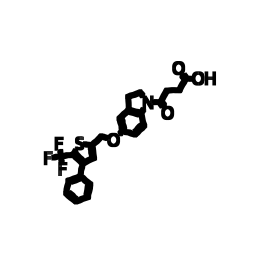 O=C(O)CCC(=O)N1CCc2cc(OCc3cc(-c4ccccc4)c(C(F)(F)F)s3)ccc21